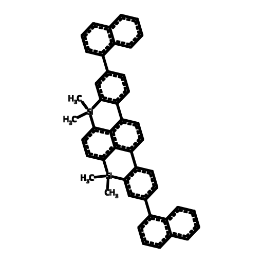 C[Si]1(C)c2cc(-c3cccc4ccccc34)ccc2-c2ccc3c4c(ccc1c24)[Si](C)(C)c1cc(-c2cccc4ccccc24)ccc1-3